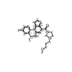 COCCCN1CCN(C(=O)c2nc(N[C@@H](C)c3cncc(F)c3)nc3ccsc23)C1